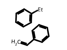 C=Cc1ccccc1.CCc1ccccc1